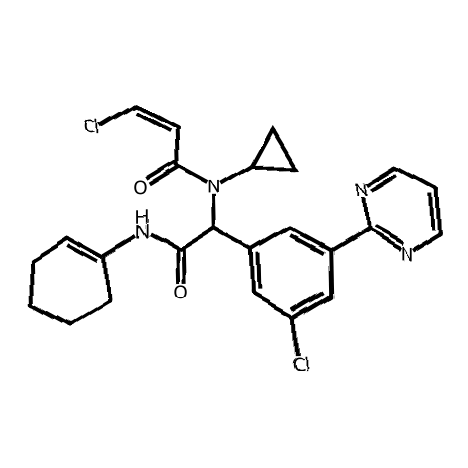 O=C(NC1=CCCCC1)C(c1cc(Cl)cc(-c2ncccn2)c1)N(C(=O)/C=C\Cl)C1CC1